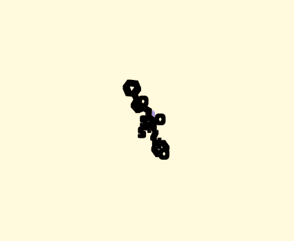 O=C1/C(=C/c2ccc(-c3ccccc3)o2)SC(=S)N1CCN1CCOCC1